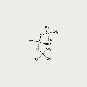 CCC[Si](OC)(O[Si](C)(C)C)O[Si](C)(C)C